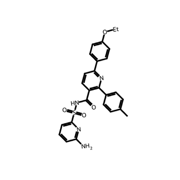 CCOc1ccc(-c2ccc(C(=O)NS(=O)(=O)c3cccc(N)n3)c(-c3ccc(C)cc3)n2)cc1